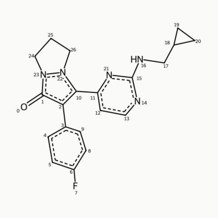 O=c1c(-c2ccc(F)cc2)c(-c2ccnc(NCC3CC3)n2)n2n1CCC2